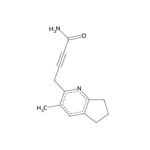 Cc1cc2c(nc1CC#CC(N)=O)CCC2